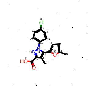 Cc1ccc(-c2c(C)c(C(=O)O)nn2-c2ccc(Cl)cc2)o1